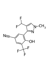 Cn1cc(C(F)F)c(-c2cc(C#N)cc(C(F)(F)F)c2O)n1